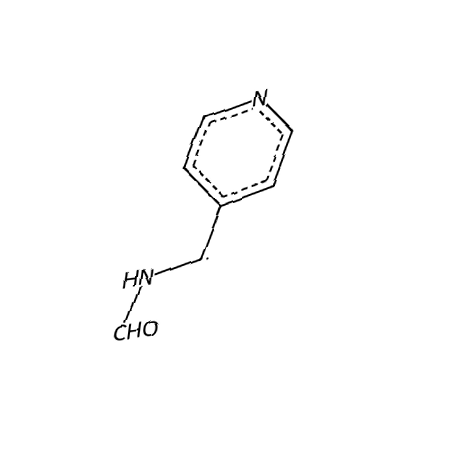 O=CN[CH]c1ccncc1